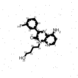 Nc1ccnc2c1nc(-c1cccc(F)c1)c(=O)n2CCCCO